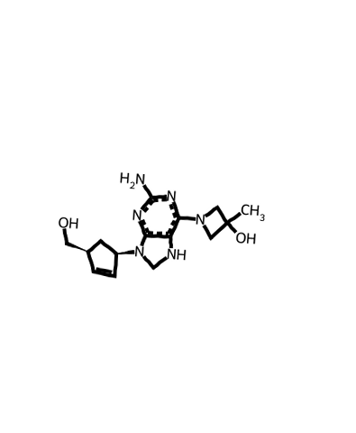 CC1(O)CN(c2nc(N)nc3c2NCN3[C@H]2C=C[C@@H](CO)C2)C1